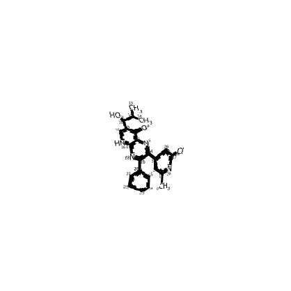 Cc1cc(-c2nc3c(=O)c(C(O)C(C)C)c[nH]c3nc2-c2ccccc2)cc(Cl)n1